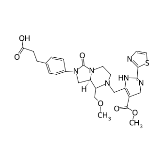 COCC1[C@H]2CN(c3ccc(CCC(=O)O)cc3)C(=O)N2CCN1CC1=C(C(=O)OC)CN=C(c2nccs2)N1